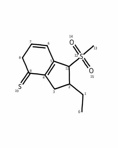 CCC1CC2=C(C=CCC2=S)C1S(C)(=O)=O